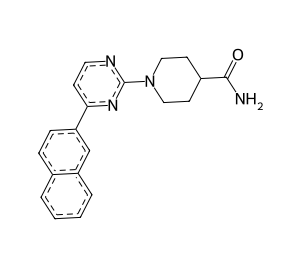 NC(=O)C1CCN(c2nccc(-c3ccc4ccccc4c3)n2)CC1